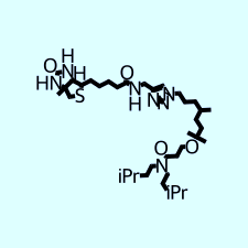 CC(C)CCN(CCC(C)C)C(=O)CCOC(C)(C)CCC(C)CCCn1cc(CNC(=O)CCCCC2SCC3(C)NC(=O)N[C@H]23)nn1